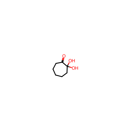 O=C1CCCCCC1(O)O